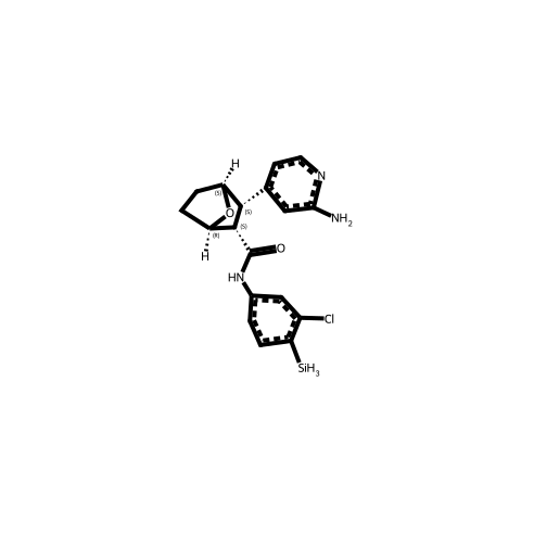 Nc1cc([C@@H]2[C@H](C(=O)Nc3ccc([SiH3])c(Cl)c3)[C@H]3CC[C@@H]2O3)ccn1